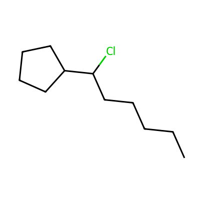 CCCCCC(Cl)C1CCCC1